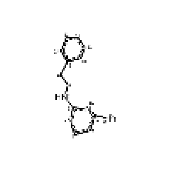 CC(C)c1ccnc(NCCc2ccccc2)n1